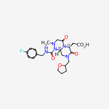 CN1CC(=O)N2[C@@H](CC(=O)O)C(=O)N(CC3CCCO3)C[C@@H]2N1C(=O)NCc1ccc(F)cc1